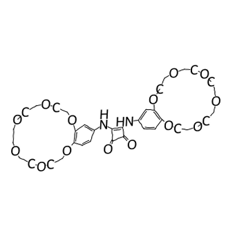 O=c1c(Nc2ccc3c(c2)OCCOCCOCCOCCOCCO3)c(Nc2ccc3c(c2)OCCOCCOCCOCCOCCO3)c1=O